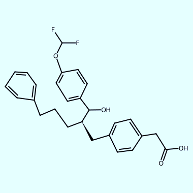 O=C(O)Cc1ccc(C[C@@H](CCCc2ccccc2)C(O)c2ccc(OC(F)F)cc2)cc1